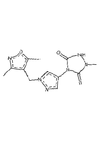 C=C1N(C)NC(=O)N1c1cnn(Cc2c(C)noc2C)c1